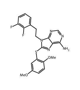 COc1ccc(OC)c(Sc2nc3c(N)ncnc3n2CCc2cccc(F)c2F)c1